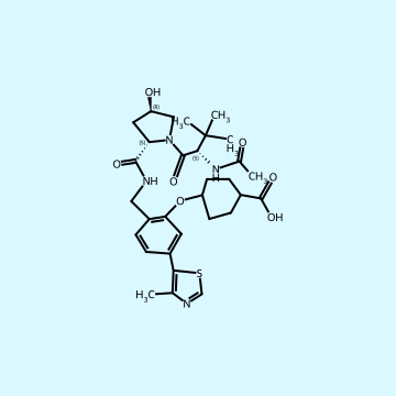 CC(=O)N[C@H](C(=O)N1C[C@H](O)C[C@H]1C(=O)NCc1ccc(-c2scnc2C)cc1OC1CCC(C(=O)O)CC1)C(C)(C)C